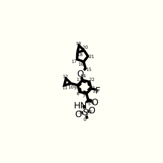 CS(=O)(=O)NC(=O)c1cc(C2CC2)c(OCC2CC3CC3C2)cc1F